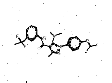 Cc1nn(-c2ccc(OC(F)F)cc2)c(N(C)C)c1C(=O)Nc1cccc(C(C)(F)F)c1